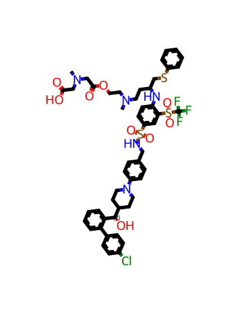 CN(CCOC(=O)CN(C)CC(=O)O)CCC(CSc1ccccc1)Nc1ccc(S(=O)(=O)NCc2ccc(N3CCC([C@@H](O)c4ccccc4-c4ccc(Cl)cc4)CC3)cc2)cc1S(=O)(=O)C(F)(F)F